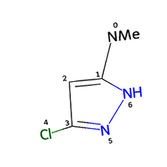 CNc1cc(Cl)n[nH]1